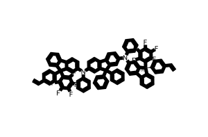 C=Cc1ccc(C2(c3c(F)c(F)c(F)c(F)c3F)c3ccccc3-c3ccc(N(c4ccccc4)c4ccc5c(c4)C(c4ccccc4)(c4ccccc4)c4cc(N(c6ccccc6)c6ccc7c(c6)[C@@](c6ccc(C=C)cc6)(c6c(F)c(F)c(F)c(F)c6F)c6ccccc6-7)ccc4-5)cc32)cc1